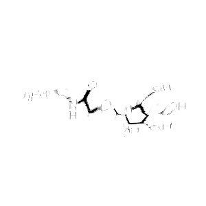 CCCCCCCNC(=O)COC[C@H]1O[C@@H](O)[C@H](O)[C@@H](O)[C@@H]1O